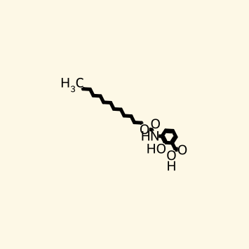 CCCCCCCCCCCCCOC(=O)Nc1cccc(C(=O)O)c1O